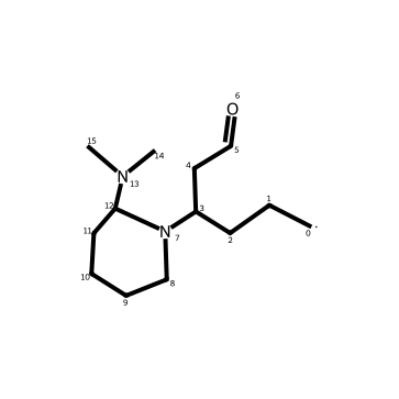 [CH2]CCC(CC=O)N1CCCCC1N(C)C